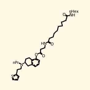 CCCCCCNC(=O)CCCCCCCCC(=O)NCCC(=O)Oc1cccc2c1CC[C@H](N(CCC)CCc1cccs1)C2